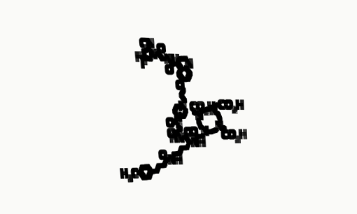 Cc1ccc(CCCC(=O)NCCCC[C@H](NC(=O)CN2CCN(CC(=O)O)CCN(CC(=O)O)CCN(CC(=O)O)CC2)C(=O)NC(=O)SC(=O)N2CCN(CCCOc3ccc4nccc(C(=O)NCC(=O)N5CC(F)(F)C[C@@H]5C#N)c4c3)CC2)cc1